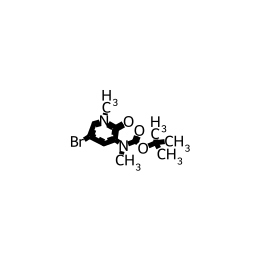 CN(C(=O)OC(C)(C)C)c1cc(Br)cn(C)c1=O